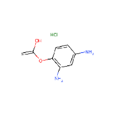 C=C(O)Oc1ccc(N)cc1N.Cl